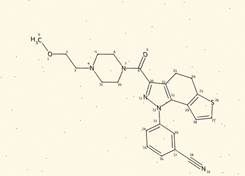 COCCN1CCN(C(=O)c2nn(-c3cccc(C#N)c3)c3c2CCc2sccc2-3)CC1